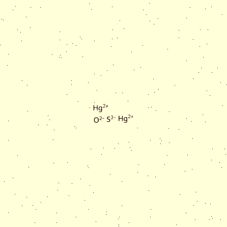 [Hg+2].[Hg+2].[O-2].[S-2]